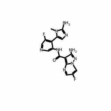 Bc1ncc(-c2c(F)cncc2NC(=O)c2c(N)nn3cc(F)cnc23)n1C